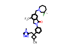 Cn1cnnc1CC1(c2cccc(N3Cc4c(cc(CN5CCCC[C@@](C)(F)C5)cc4C(F)(F)F)C3=O)c2)CC(C#N)C1